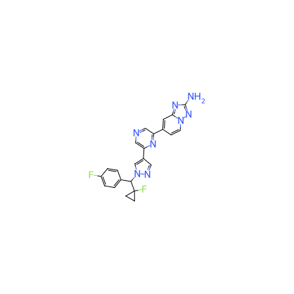 Nc1nc2cc(-c3cncc(-c4cnn(C(c5ccc(F)cc5)C5(F)CC5)c4)n3)ccn2n1